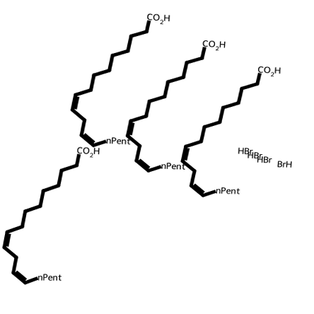 Br.Br.Br.Br.CCCCC/C=C\C/C=C\CCCCCCCC(=O)O.CCCCC/C=C\C/C=C\CCCCCCCC(=O)O.CCCCC/C=C\C/C=C\CCCCCCCC(=O)O.CCCCC/C=C\C/C=C\CCCCCCCC(=O)O